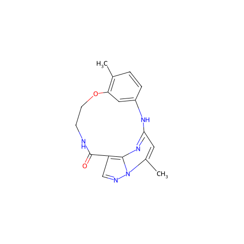 Cc1ccc2cc1OCCNC(=O)c1cnn3c(C)cc(nc13)N2